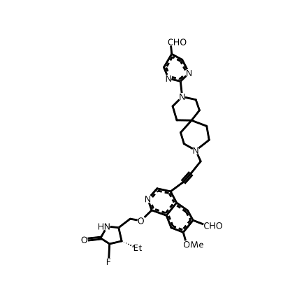 CC[C@H]1C(COc2ncc(C#CCN3CCC4(CC3)CCN(c3ncc(C=O)cn3)CC4)c3cc(C=O)c(OC)cc23)NC(=O)C1F